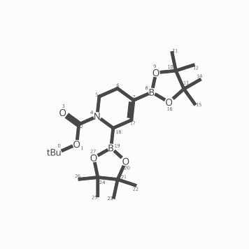 CC(C)(C)OC(=O)N1CCC(B2OC(C)(C)C(C)(C)O2)=CC1B1OC(C)(C)C(C)(C)O1